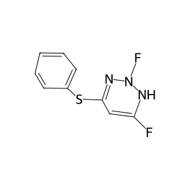 FC1=CC(Sc2ccccc2)=NN(F)N1